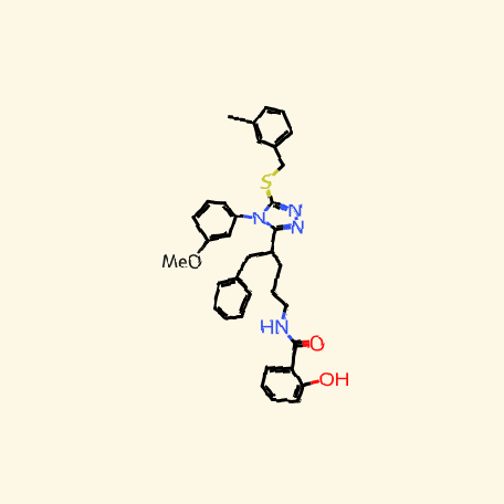 COc1cccc(-n2c(SCc3cccc(C)c3)nnc2C(CCCNC(=O)c2ccccc2O)Cc2ccccc2)c1